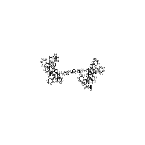 CN[C@@H](C)C(=O)N[C@H](C(=O)N1CCCC1C(=O)N[C@H](C(=O)NCCCOCCOCCOCCCNC(=O)[C@@H](NC(=O)C1CCCN1C(=O)[C@@H](NC(=O)[C@@H](C)NC)C1CCCCC1)C(c1ccccc1)c1ccccc1)C(c1ccccc1)c1ccccc1)C1CCCCC1